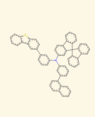 c1cc(-c2ccc3sc4ccccc4c3c2)cc(N(c2cccc(-c3cccc4ccccc34)c2)c2ccc3c(c2)C2(c4ccccc4-c4ccccc42)c2ccccc2-3)c1